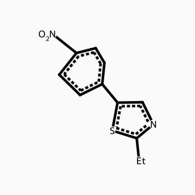 CCc1ncc(-c2ccc([N+](=O)[O-])cc2)s1